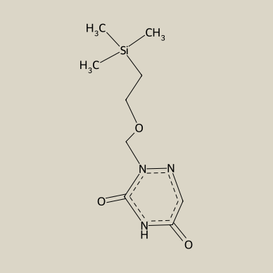 C[Si](C)(C)CCOCn1ncc(=O)[nH]c1=O